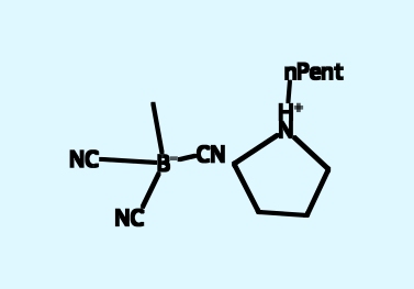 CCCCC[NH+]1CCCC1.C[B-](C#N)(C#N)C#N